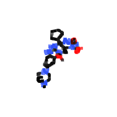 COc1cc(N2CCN(C)CC2)ccc1NC1=NC=C([N+](=O)[O-])C(N)(C2CCCC2)N1